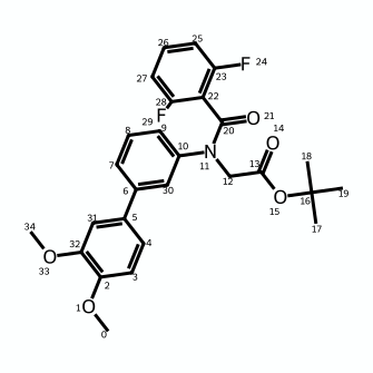 COc1ccc(-c2cccc(N(CC(=O)OC(C)(C)C)C(=O)c3c(F)cccc3F)c2)cc1OC